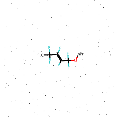 CCCOC(F)(F)C(F)=C(F)C(F)(F)C(F)(F)F